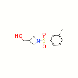 Cc1cccc(S(=O)(=O)N2CC(CO)C2)c1